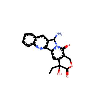 CCC1(O)C(=O)OCc2c1cc1n(c2=O)C(N)c2cc3ccccc3nc2-1